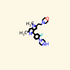 Cc1cc2c(cc(CCN3CCOCC3)n2C)c(-c2ccc(N3CCNCC3)c(F)c2)n1